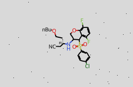 CCCCOCC[C@@H](CC#N)NC1COc2c(F)ccc(F)c2C1S(=O)(=O)c1ccc(Cl)cc1